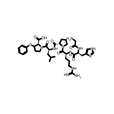 CC(C)C[C@H](NC(=O)[C@@H]1CCCN1C(=O)[C@H](CCCNC(=N)N)NC(=O)[C@H](Cc1c[nH]cn1)NC(=O)CN)C(=O)N1CCC(Oc2ccccc2)[C@H]1C(=O)O